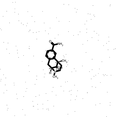 CN1CC[C@@]2(C)c3cc(C(N)=O)ccc3C[C@@H]1C2(O)O